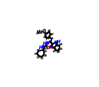 COc1ccc(CC(NC(=O)NC2CCCCCC2)c2nc3ccccc3[nH]2)cc1